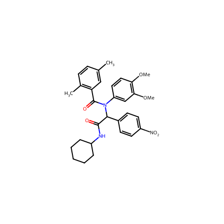 COc1ccc(N(C(=O)c2cc(C)ccc2C)C(C(=O)NC2CCCCC2)c2ccc([N+](=O)[O-])cc2)cc1OC